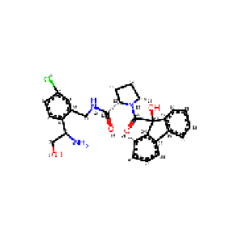 NC(CO)c1ccc(Cl)cc1CNC(=O)[C@@H]1CCCN1C(=O)C1(O)c2ccccc2-c2ccccc21